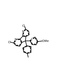 COc1ccc(C2(c3ccc(C)cc3)c3ccc(Cl)nc3-c3nc(Cl)ccc32)cc1